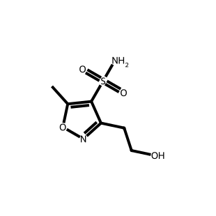 Cc1onc(CCO)c1S(N)(=O)=O